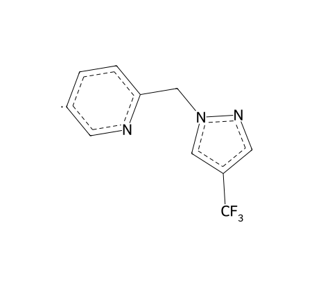 FC(F)(F)c1cnn(Cc2cc[c]cn2)c1